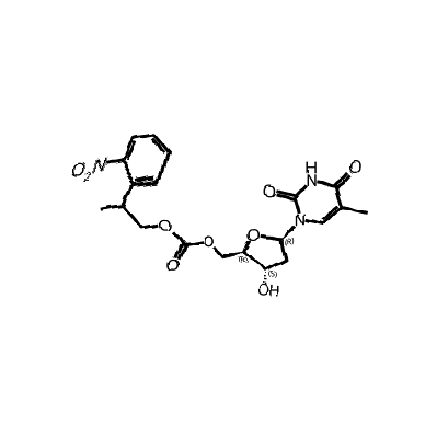 Cc1cn([C@H]2C[C@H](O)[C@@H](COC(=O)OCC(C)c3ccccc3[N+](=O)[O-])O2)c(=O)[nH]c1=O